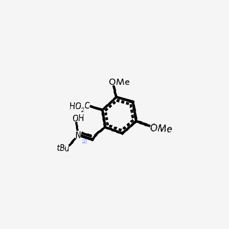 COc1cc(/C=[N+](\O)C(C)(C)C)c(C(=O)O)c(OC)c1